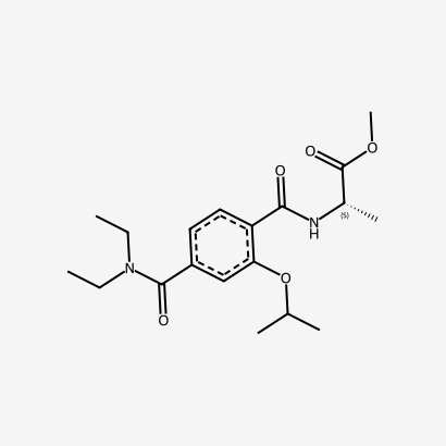 CCN(CC)C(=O)c1ccc(C(=O)N[C@@H](C)C(=O)OC)c(OC(C)C)c1